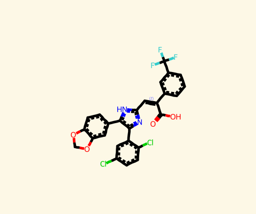 O=C(O)/C(=C\c1nc(-c2cc(Cl)ccc2Cl)c(-c2ccc3c(c2)OCO3)[nH]1)c1cccc(C(F)(F)F)c1